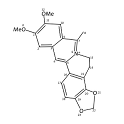 COc1cc2cc3[n+](c(C)c2cc1OC)CCc1c-3ccc2c1OCO2